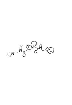 NCCNC(=O)c1cn2c(C(=O)NCC34CC5CC(CC3C5)C4)cccc2n1